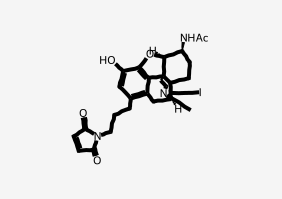 CC(=O)N[C@H]1CCC2[C@H]3Cc4c(CCCN5C(=O)C=CC5=O)cc(O)c5c4[C@@]2(CC[N+]3(C)I)[C@H]1O5